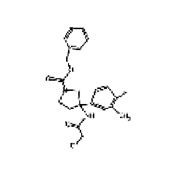 Cc1cc(C2(NC(=O)CCl)CCN(C(=O)OCc3ccccc3)C2)ccc1F